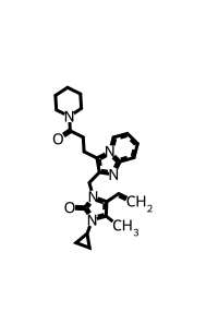 C=Cc1c(C)n(C2CC2)c(=O)n1Cc1nc2ccccn2c1CCC(=O)N1CCCCC1